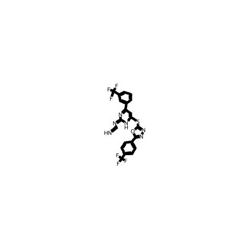 N=C/N=c1/nc(-c2cccc(C(F)(F)F)c2)cc(Sc2nnc(-c3ccc(C(F)(F)F)cc3)o2)[nH]1